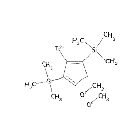 C[O-].C[O-].C[Si](C)(C)C1=CCC([Si](C)(C)C)=[C]1[Ti+2]